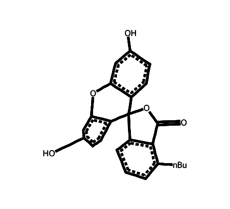 CCCCc1cccc2c1C(=O)OC21c2ccc(O)cc2Oc2cc(O)ccc21